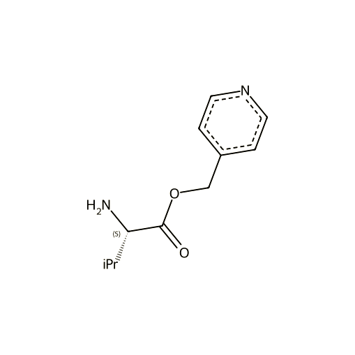 CC(C)[C@H](N)C(=O)OCc1ccncc1